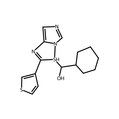 OC(C1CCCCC1)[SH]1C(c2ccsc2)=Nc2cncn21